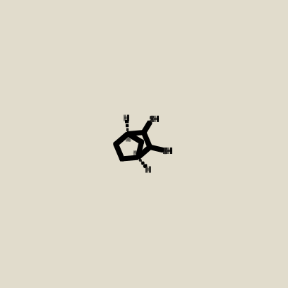 SC1C(S)[C@H]2CC[C@@H]1C2